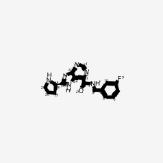 O=C(NCc1cccc(F)c1)c1ncnc2nc([C@H]3CCCN3)[nH]c12